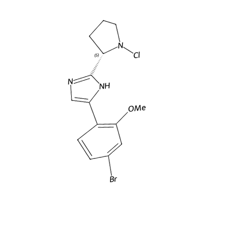 COc1cc(Br)ccc1-c1cnc([C@@H]2CCCN2Cl)[nH]1